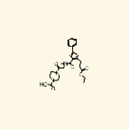 CCOC(=O)CCc1sc(-c2ccccc2)nc1C(=O)NCC(=O)N1CCN(C(=O)O)CC1